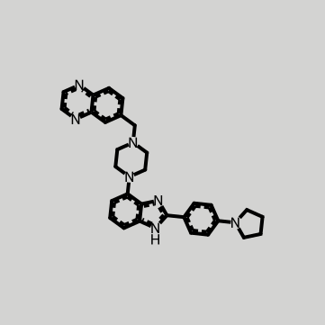 c1cc(N2CCN(Cc3ccc4nccnc4c3)CC2)c2nc(-c3ccc(N4CCCC4)cc3)[nH]c2c1